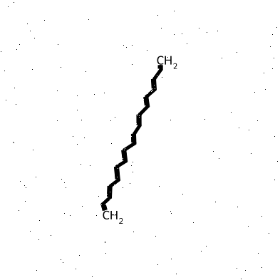 C=CC=CC=CC=CC=CC=CC=CC=CC=C